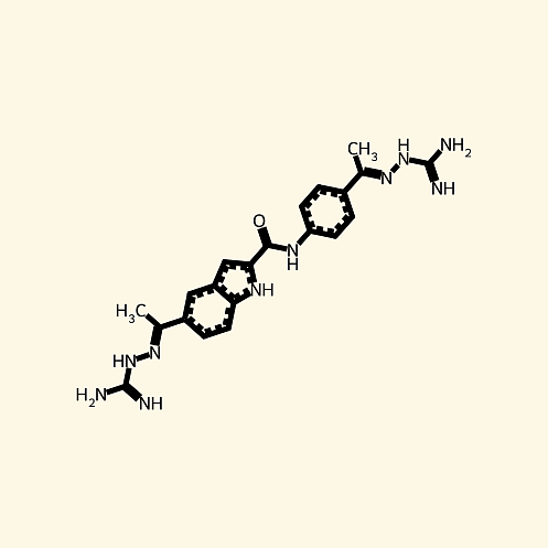 C/C(=N\NC(=N)N)c1ccc(NC(=O)c2cc3cc(/C(C)=N/NC(=N)N)ccc3[nH]2)cc1